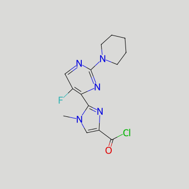 Cn1cc(C(=O)Cl)nc1-c1nc(N2CCCCC2)ncc1F